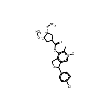 Cc1c(OC(=O)C2C[C@H](O[N+](=O)[O-])[C@H](O[N+](=O)[O-])C2)c2c(c[n+]1[O-])C(c1ccc(Cl)cc1)OC2